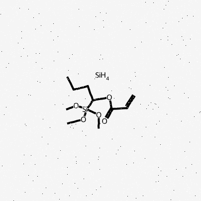 C=CC(=O)OC(CCC)[Si](OC)(OC)OC.[SiH4]